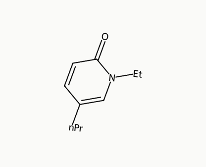 CCCc1ccc(=O)n(CC)c1